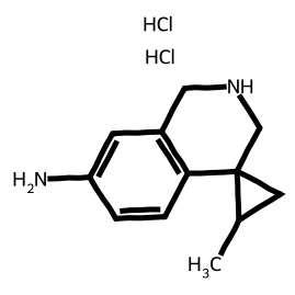 CC1CC12CNCc1cc(N)ccc12.Cl.Cl